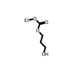 CCOC(=O)OCCCO